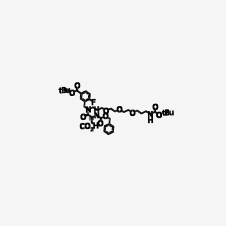 CC(C)(C)OC(=O)NCCCOCCOCCOCCCN(Cc1cc(C(=O)OC(C)(C)C)ccc1F)C(=O)[C@H](CC(=O)O)NC(=O)OCc1ccccc1